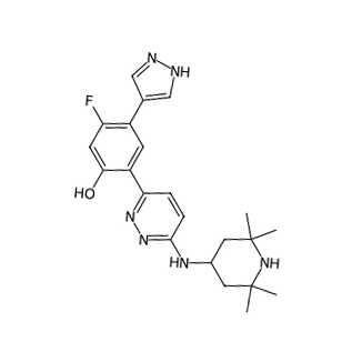 CC1(C)CC(Nc2ccc(-c3cc(-c4cn[nH]c4)c(F)cc3O)nn2)CC(C)(C)N1